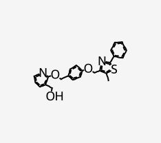 Cc1sc(-c2ccccc2)nc1COc1ccc(COc2ncccc2CO)cc1